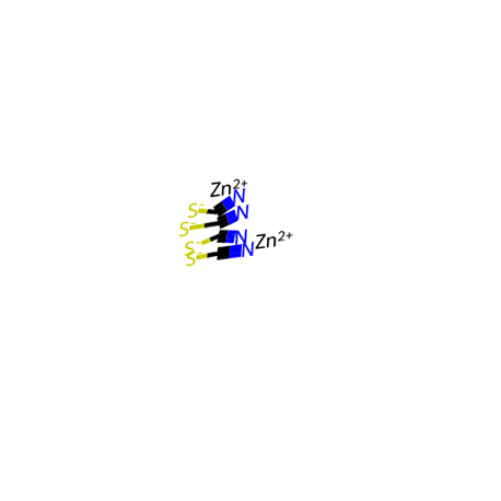 N#C[S-].N#C[S-].N#C[S-].N#C[S-].[Zn+2].[Zn+2]